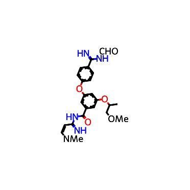 CN/C=C\C(=N)NC(=O)c1cc(Oc2ccc(C(=N)NC=O)cc2)cc(OC(C)COC)c1